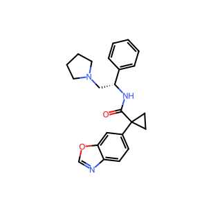 O=C(N[C@H](CN1CCCC1)c1ccccc1)C1(c2ccc3ncoc3c2)CC1